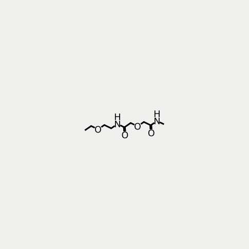 CCOCCNC(=O)COCC(=O)NC